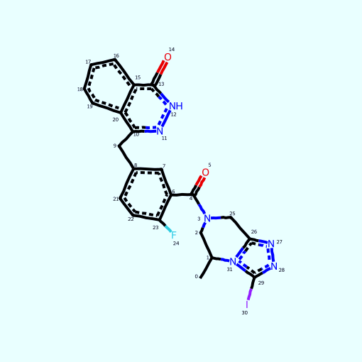 CC1CN(C(=O)c2cc(Cc3n[nH]c(=O)c4ccccc34)ccc2F)Cc2nnc(I)n21